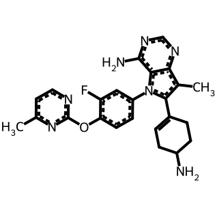 Cc1ccnc(Oc2ccc(-n3c(C4=CCC(N)CC4)c(C)c4ncnc(N)c43)cc2F)n1